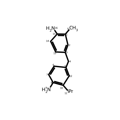 Cc1cc(Cc2ccc(N)c(C(C)C)c2)ccc1N